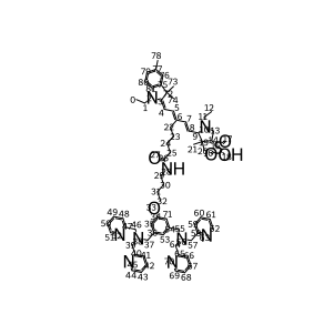 CCN1/C(=C/C=C(/C=C/C2N(CC)CC(S(=O)(=O)O)C2(C)C)CCCCC(=O)NCCCCOc2cc(CN(Cc3ccccn3)Cc3ccccn3)cc(CN(Cc3ccccn3)Cc3ccccn3)c2)C(C)(C)c2cc(C)ccc21